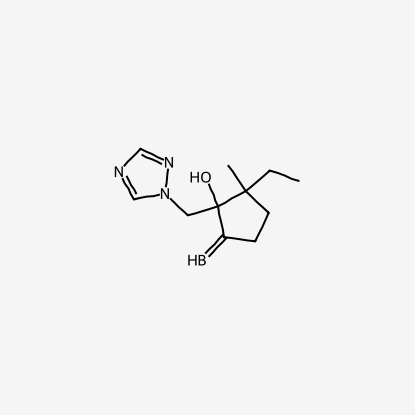 B=C1CCC(C)(CC)C1(O)Cn1cncn1